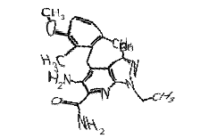 CCn1nc(Br)c2c(-c3c(C)ccc(OC)c3C)c(N)c(C(N)=O)nc21